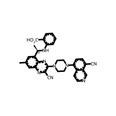 Cc1cc([C@@H](C)Nc2ccccc2C(=O)O)c2nc(N3CCN(c4ccc(C#N)c5cnccc45)CC3)c(C#N)nc2c1